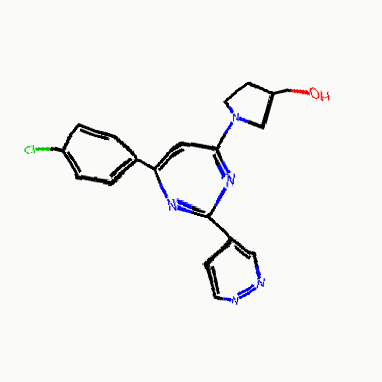 OC1CCN(c2cc(-c3ccc(Cl)cc3)nc(-c3ccnnc3)n2)C1